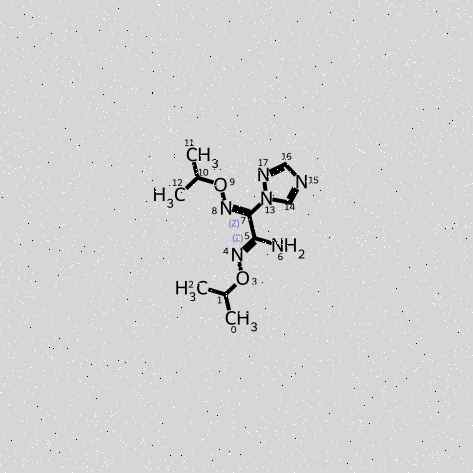 CC(C)O/N=C(N)/C(=N/OC(C)C)n1cncn1